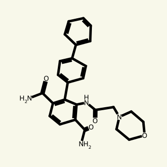 NC(=O)c1ccc(C(N)=O)c(-c2ccc(-c3ccccc3)cc2)c1NC(=O)CN1CCOCC1